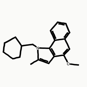 COc1cc2ccccc2c2c1cc(C)n2CC1CCCCC1